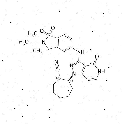 CC(C)(C)N1Cc2cc(Nc3nn([C@H]4CCCCC[C@@H]4C#N)c4cc[nH]c(=O)c34)ccc2S1(=O)=O